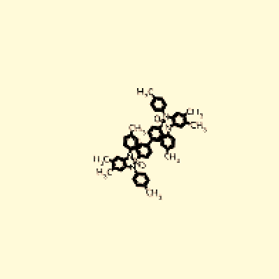 Cc1ccc(N2c3cc(C)c(C)cc3N(c3ccc(C)cc3)P2(=O)c2ccc(-c3ccc(P4(=O)N(c5ccc(C)cc5)c5cc(C)c(C)cc5N4c4ccc(C)cc4)cc3)cc2)cc1